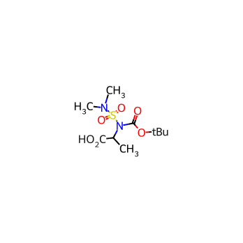 CC(C(=O)O)N(C(=O)OC(C)(C)C)S(=O)(=O)N(C)C